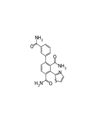 NC(=O)c1cccc(-c2ccc(C(N)=O)c(-c3nccs3)c2C(N)=O)c1